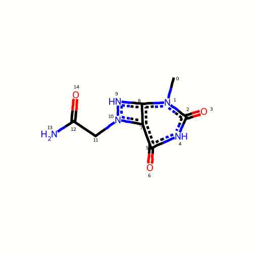 Cn1c(=O)[nH]c(=O)c2c1[nH]n2CC(N)=O